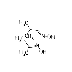 CC(C)=NO.CC(C)C=NO